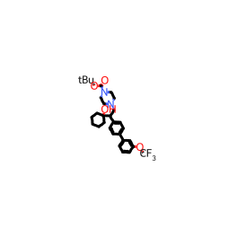 CC(C)(C)OC(=O)N1CCN(CC(c2ccc(-c3cccc(OC(F)(F)F)c3)cc2)C2(O)CCCCC2)CC1